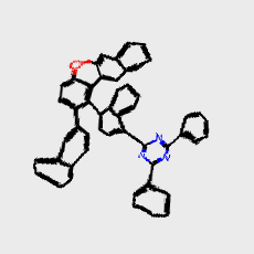 c1ccc(-c2nc(-c3ccccc3)nc(-c3ccc(-c4c(-c5ccc6ccccc6c5)ccc5oc6cc7ccccc7cc6c45)c4ccccc34)n2)cc1